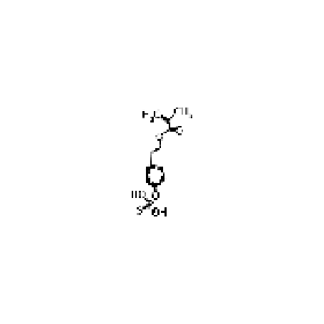 C=C(C)C(=O)OCCc1ccc(OP(O)(O)=S)cc1